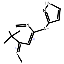 C=N/C(=C\C(=N/C)C(C)(C)C)Nc1cc[nH]n1